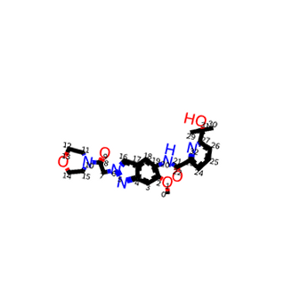 COc1cc2nn(CC(=O)N3CCOCC3)cc2cc1NC(=O)c1cccc(C(C)(C)O)n1